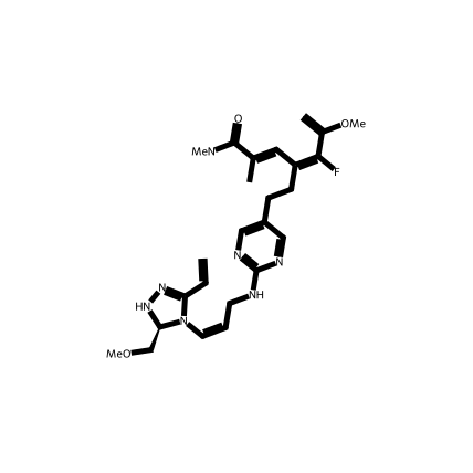 C=CC1=NN[C@H](COC)N1/C=C\CNc1ncc(CCC(/C=C(\C)C(=O)NC)=C(\F)C(=C)OC)cn1